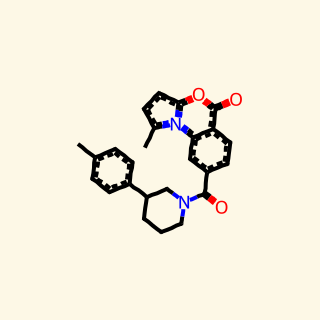 Cc1ccc(C2CCCN(C(=O)c3ccc4c(=O)oc5ccc(C)n5c4c3)C2)cc1